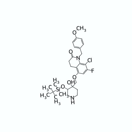 COc1ccc(CN2C(=O)CCc3c(OCC4(O)CCNCC4O[Si](C)(C)C(C)(C)C)cc(F)c(Cl)c32)cc1